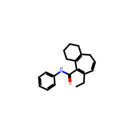 CCC1=C(C(=O)Nc2ccccc2)C2=C(CC=C1)CCCC2